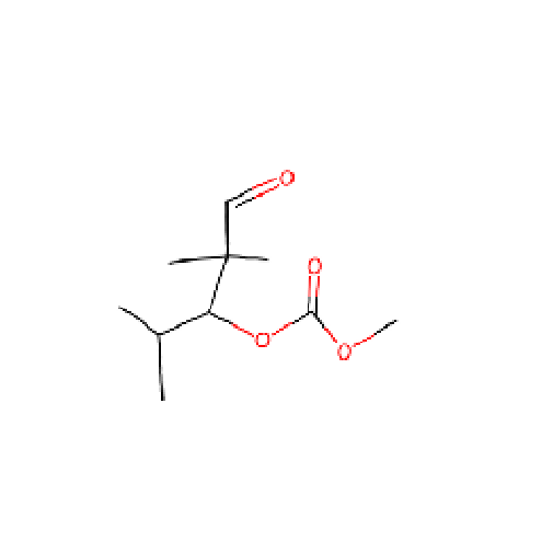 COC(=O)OC(C(C)C)C(C)(C)C=O